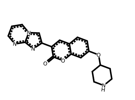 O=c1oc2cc(OC3CCNCC3)ccc2cc1-c1cn2cccnc2n1